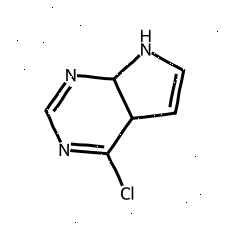 ClC1=NC=NC2NC=CC12